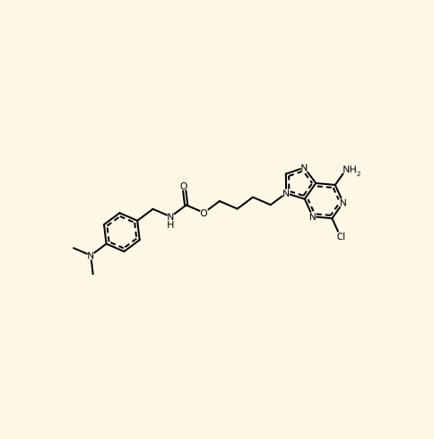 CN(C)c1ccc(CNC(=O)OCCCCn2cnc3c(N)nc(Cl)nc32)cc1